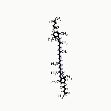 CC(=O)CCC(=O)OC1C=C(C)C(/C=C/C(C)=C/C=C/C(C)=C/C=C/C=C(C)/C=C/C=C(C)/C=C/C2=C(C)CC(OC(=O)CCC(C)=O)CC2(C)C)C(C)(C)C1